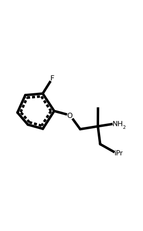 CC(C)CC(C)(N)COc1ccccc1F